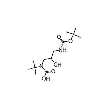 CC(C)(C)OC(=O)NCC(O)CN(C(=O)O)C(C)(C)C